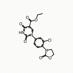 CCOC(=O)c1cn(-c2ccc(N3CCOC3=O)c(Cl)c2)c(=O)[nH]c1=O